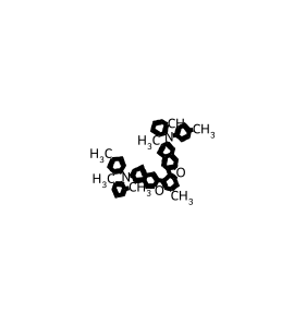 Cc1ccc(N(c2ccc3cc4c(cc3c2)oc2cc(C)c3oc5cc6cc(N(c7ccc(C)cc7)c7c(C)cccc7C)ccc6cc5c3c24)c2c(C)cccc2C)cc1